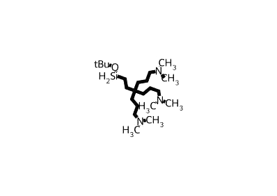 CN(C)CCCC(CCCN(C)C)(CCCN(C)C)CC[SiH2]OC(C)(C)C